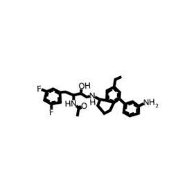 CCc1cc(-c2cccc(N)c2)c2c(c1)C(NCC(O)C(Cc1cc(F)cc(F)c1)NC(C)=O)CCC2